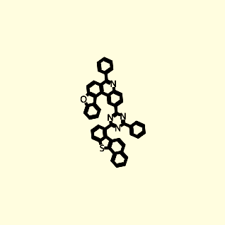 c1ccc(-c2nc(-c3ccc4nc(-c5ccccc5)c5ccc6oc7ccccc7c6c5c4c3)nc(-c3cccc4sc5c6ccccc6ccc5c34)n2)cc1